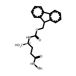 CC(C)(C)NC(=O)CC[C@H](NC(=O)OCC1c2ccccc2-c2ccccc21)C(=O)O